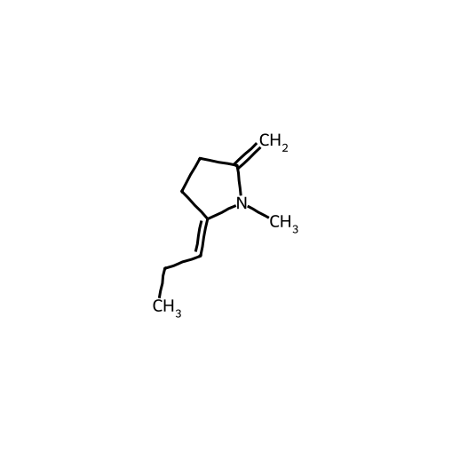 C=C1CCC(=CCC)N1C